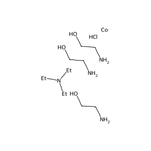 CCN(CC)CC.Cl.NCCO.NCCO.NCCO.[Co]